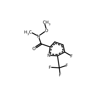 CON(C)C(=O)c1ccc(F)c(C(F)(F)F)n1